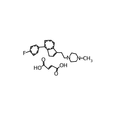 CN1CCN(CCC2=CCc3c2cccc3-c2ccc(F)cc2)CC1.O=C(O)C=CC(=O)O